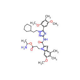 COc1cc(-c2nc(NC(=O)c3cc4c(C)c(C)c(OC)cc4n3CCC(=O)OC(C)N)nn2CCC2CCCCC2)c(OC)cc1C